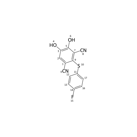 N#Cc1cc(O)c(O)c(C#N)c1Sc1ccc(F)cc1